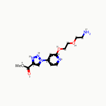 COC(=O)c1cn(-c2ccnc(OCCOCCN)c2)nn1